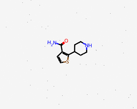 NC(=O)c1ccsc1C1CCNCC1